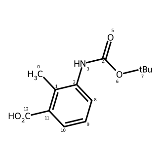 Cc1c(NC(=O)OC(C)(C)C)cccc1C(=O)O